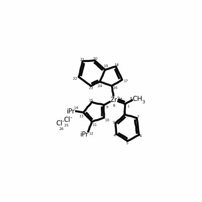 C/[C](c1ccccc1)=[Zr+2](/[C]1=CC(C(C)C)=C(C(C)C)C1)[CH]1C=Cc2ccccc21.[Cl-].[Cl-]